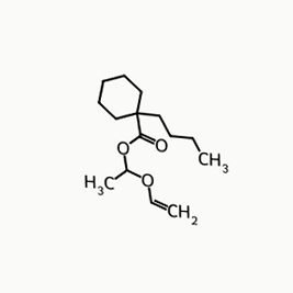 C=COC(C)OC(=O)C1(CCCC)CCCCC1